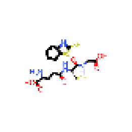 N[C@@H](CCC(=O)N[C@@H](CS)C(=O)NCC(=O)O)C(=O)O.Sc1nc2ccccc2s1